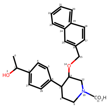 CC(O)c1ccc(C2CCN(C(=O)O)CC2OCc2ccc3ccccc3c2)cc1